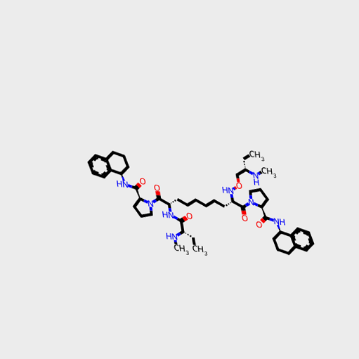 CC[C@@H](CON[C@@H](CCCCCC[C@H](NC(=O)[C@H](CC)NC)C(=O)N1CCC[C@H]1C(=O)N[C@@H]1CCCc2ccccc21)C(=O)N1CCC[C@H]1C(=O)N[C@@H]1CCCc2ccccc21)NC